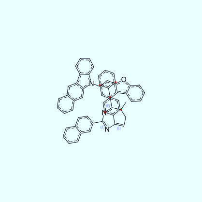 CC1C/C=C(c2ccc(-c3ccccc3)cc2)/N=C(c2ccc3ccccc3c2)\N=C/1c1cc(-n2c3ccccc3c3cc4ccccc4cc32)cc2oc3ccccc3c12